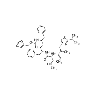 CNC(C)C(NC(=O)N(C)Cc1csc(C(C)C)n1)C(=O)NC(CCC(Cc1ccccc1)NC(=O)OCc1cncs1)Cc1ccccc1